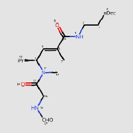 CCCCCCCCCCCCNC(=O)/C(C)=C/[C@H](C(C)C)N(C)C(=O)CNC=O